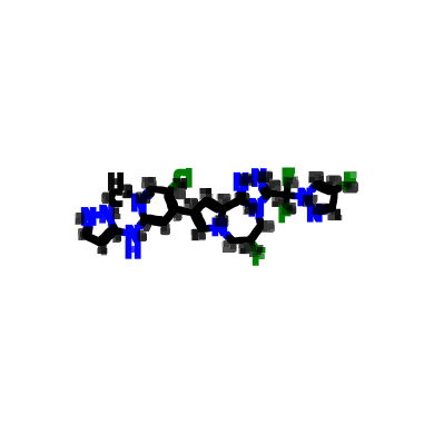 Cn1nccc1Nc1cc(-c2cc3n(c2)C[C@H](F)Cn2c-3nnc2C(F)(F)n2cc(F)cn2)c(Cl)cn1